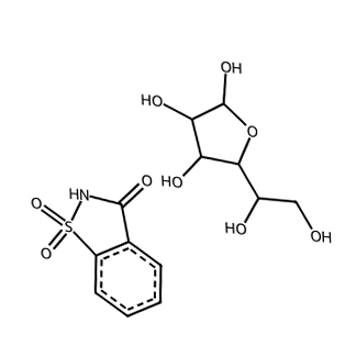 O=C1NS(=O)(=O)c2ccccc21.OCC(O)C1OC(O)C(O)C1O